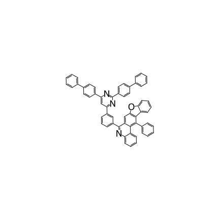 c1ccc(-c2ccc(-c3cc(-c4cccc(-c5nc6ccccc6c6c(-c7ccccc7)c7c(cc56)oc5ccccc57)c4)nc(-c4ccc(-c5ccccc5)cc4)n3)cc2)cc1